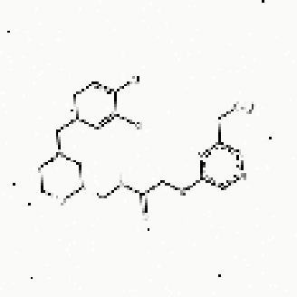 O=C(O)Cc1cncc(SCC(=O)NC[C@H]2CN(CC3C=C(Cl)C(Cl)=CC3)CCO2)n1